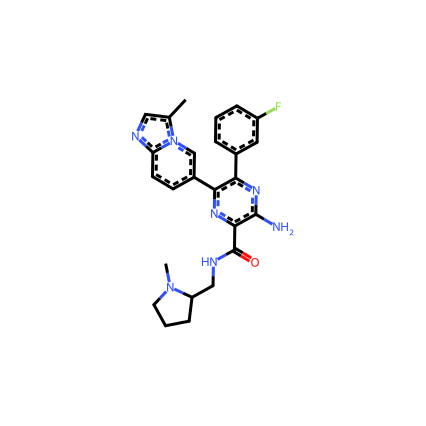 Cc1cnc2ccc(-c3nc(C(=O)NCC4CCCN4C)c(N)nc3-c3cccc(F)c3)cn12